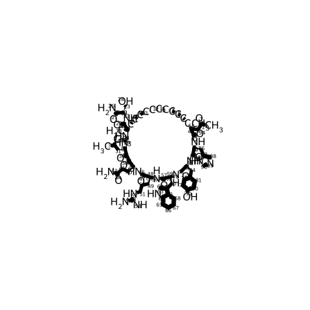 CC(=O)C[C@]1(C)CCCCCCCCCCC[C@@](C)(C(=O)N[C@@H](CO)C(N)=O)NN[C@@H](CC(C)C)C(=O)C(=O)[C@H](CCC(N)=O)NC(=O)[C@H](CCCNC(=N)N)NC(=O)[C@H](Cc2c[nH]c3ccccc23)NC(=O)[C@H](Cc2ccc(O)cc2)NC(=O)[C@H](Cc2cnc[nH]2)NC1=O